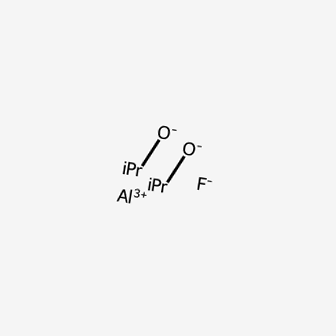 CC(C)[O-].CC(C)[O-].[Al+3].[F-]